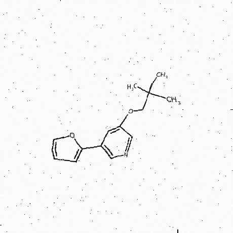 CC(C)(C)COc1cncc(-c2ccco2)c1